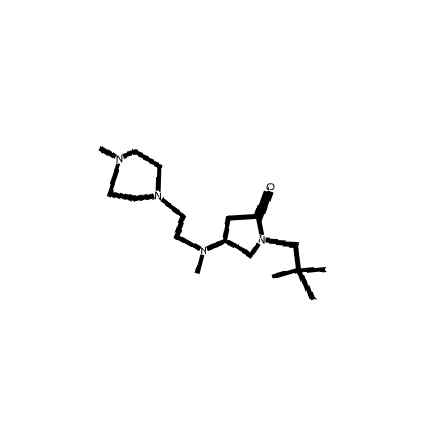 CN1CCN(CCN(C)C2CC(=O)N(CC(C)(C)C)C2)CC1